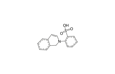 O=S(=O)(O)c1ccccc1N1C=Cc2ccccc2C1